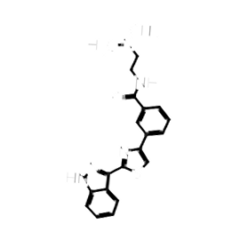 CN(C)CCNC(=O)c1cccc(-c2csc(-c3n[nH]c4ccccc34)n2)c1